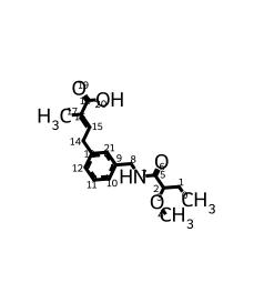 CCC(OC)C(=O)NCc1cccc(C/C=C(\C)C(=O)O)c1